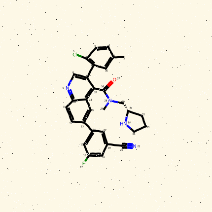 Cc1ccc(Cl)c(-c2cnc3ccc(-c4cc(F)cc(C#N)c4)cc3c2C(=O)N(C)C[C@@H]2CCCN2)c1